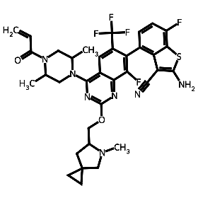 C=CC(=O)N1CC(C)N(c2nc(OCC3CC4(CC4)CN3C)nc3c(F)c(-c4ccc(F)c5sc(N)c(C#N)c45)c(C(F)(F)F)cc23)CC1C